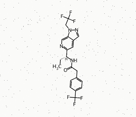 CC[C@@H](NC(=O)Cc1ccc(C(F)(F)F)cc1)c1cc2cnn(CC(F)(F)F)c2cn1